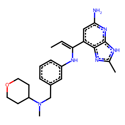 C/C=C(\Nc1cccc(CN(C)C2CCOCC2)c1)c1cc(N)nc2[nH]c(C)nc12